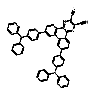 N#Cc1nc2c3ccc(-c4ccc(C(c5ccccc5)c5ccccc5)cc4)cc3c3cc(-c4ccc(N(c5ccccc5)c5ccccc5)cc4)ccc3c2nc1C#N